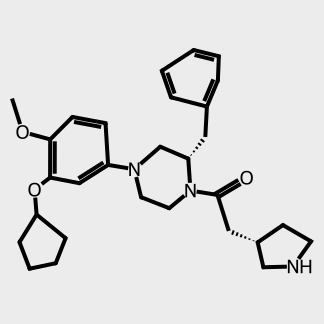 COc1ccc(N2CCN(C(=O)C[C@@H]3CCNC3)[C@@H](Cc3ccccc3)C2)cc1OC1CCCC1